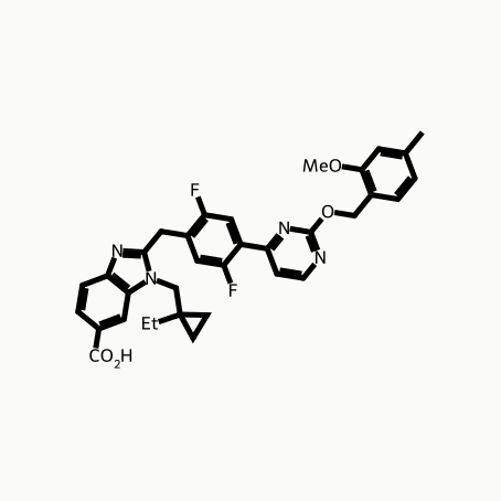 CCC1(Cn2c(Cc3cc(F)c(-c4ccnc(OCc5ccc(C)cc5OC)n4)cc3F)nc3ccc(C(=O)O)cc32)CC1